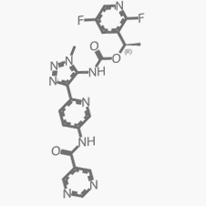 C[C@@H](OC(=O)Nc1c(-c2ccc(NC(=O)c3cncnc3)cn2)nnn1C)c1cc(F)cnc1F